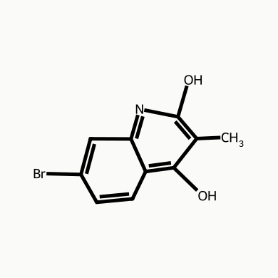 Cc1c(O)nc2cc(Br)ccc2c1O